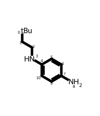 CC(C)(C)CCNc1ccc(N)cc1